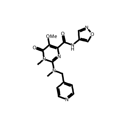 COc1c(C(=O)Nc2cnoc2)nc(N(C)Cc2ccncc2)n(C)c1=O